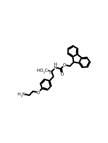 NCCOc1ccc(C[C@H](NC(=O)OCC2c3ccccc3-c3ccccc32)C(=O)O)cc1